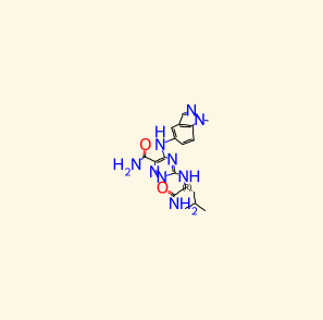 CC(C)C[C@@H](Nc1nnc(C(N)=O)c(Nc2ccc3c(cnn3C)c2)n1)C(N)=O